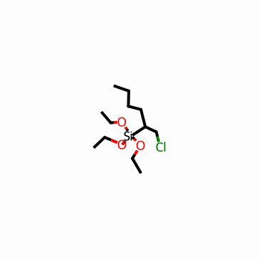 CCCCC(CCl)[Si](OCC)(OCC)OCC